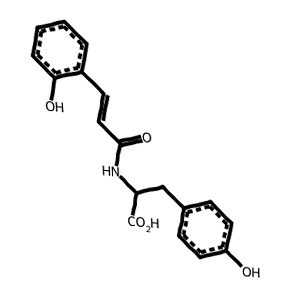 O=C(C=Cc1ccccc1O)NC(Cc1ccc(O)cc1)C(=O)O